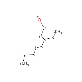 CCCCCC(CC)CC[O]